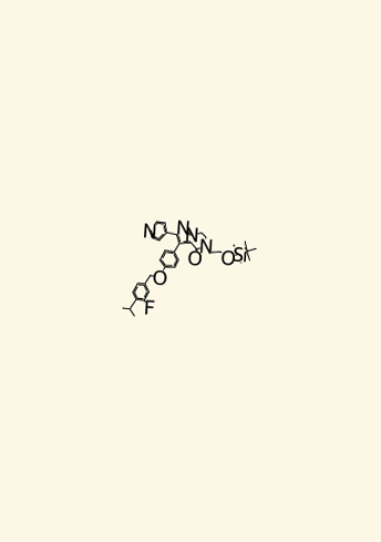 CC(C)c1ccc(COc2ccc(-c3c(-c4ccncc4)nn4c3C(=O)N(CCO[Si](C)(C)C(C)(C)C)CC4)cc2)cc1F